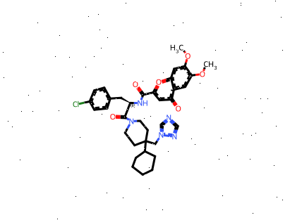 COc1cc2oc(C(=O)N[C@H](Cc3ccc(Cl)cc3)C(=O)N3CCC(Cn4cncn4)(C4CCCCC4)CC3)cc(=O)c2cc1OC